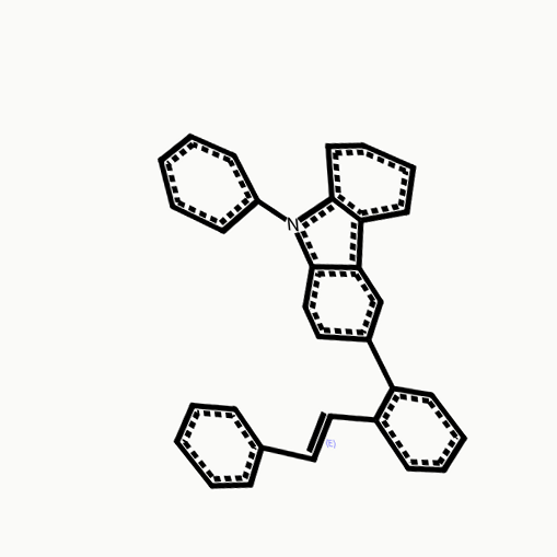 C(=C\c1ccccc1-c1ccc2c(c1)c1ccccc1n2-c1ccccc1)/c1ccccc1